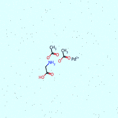 CC(=O)[O-].CC(=O)[O-].NCC(=O)O.[Pd+2]